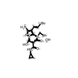 CC(C)Cn1c(=O)c(C(=O)NC2CC2)c(O)n2nc(N)c(C=CC(C)(C)C)c12.Cl